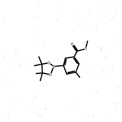 COC(=O)c1cc(C)cc(B2OC(C)(C)C(C)(C)O2)c1